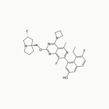 CCc1c(F)ccc2cc(O)cc(-c3nc(C)c4c(N5CCC5)nc(OC[C@@]56CCCN5C[C@H](F)C6)nc4c3F)c12